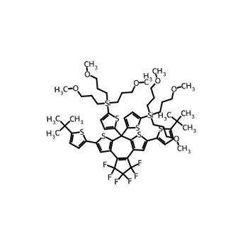 COCCC[Si](CCCOC)(CCCOC)c1ccc(C2(c3ccc([Si](CCCOC)(CCCOC)CCCOC)s3)c3sc(-c4ccc(C(C)(C)C)s4)cc3C3=C(c4cc(-c5ccc(C(C)(C)C)s5)sc42)C(F)(F)C(F)(F)C3(F)F)s1